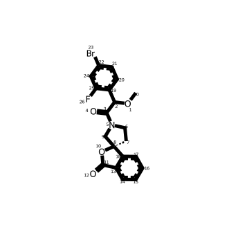 COC(C(=O)N1CC[C@@]2(C1)OC(=O)c1ccccc12)c1ccc(Br)cc1F